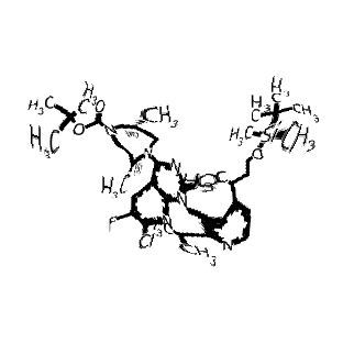 CC(C)c1nccc(C(C)CCO[Si](C)(C)C(C)(C)C)c1-n1c(=O)nc(N2C[C@@H](C)N(C(=O)OC(C)(C)C)C[C@@H]2C)c2cc(F)c(Cl)nc21